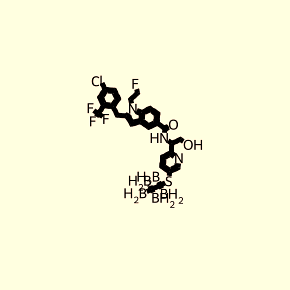 BC(B)(B)C(B)(B)Sc1ccc(C(CO)NC(=O)c2ccc3c(c2)cc(Cc2ccc(Cl)cc2C(F)(F)F)n3CCF)nc1